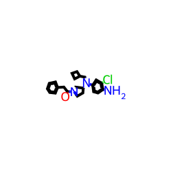 Nc1ccc(N(CC2CCC2)C2CCN(C(=O)Cc3ccccc3)C2)cc1Cl